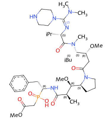 CC[C@H](C)[C@@H]([C@@H](CC(=O)N1CCC[C@H]1[C@H](OC)[C@@H](C)C(=O)N[C@@H](Cc1ccccc1)P(=O)(O)CC(=O)OC)OC)N(C)C(=O)[C@@H](/N=C(/N(C)C)N1CCNCC1)C(C)C